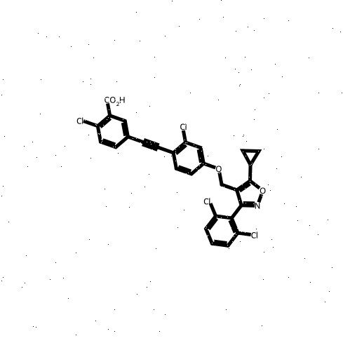 O=C(O)c1cc(C#Cc2ccc(OCc3c(-c4c(Cl)cccc4Cl)noc3C3CC3)cc2Cl)ccc1Cl